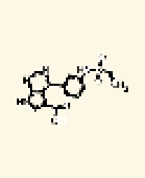 C=CS(=O)(=O)Nc1cccc(-c2ncnc3[nH]cc(C(=O)O)c23)c1